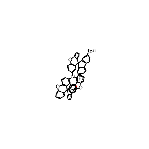 CC(C)(C)c1ccc2c(c1)C1(c3ccccc3Oc3ccc(N(c4ccc5c(c4)C4(c6ccccc6O5)c5ccccc5-c5ccccc54)c4cccc5oc6ccccc6c45)cc31)c1cc(C(C)(C)C)ccc1-2